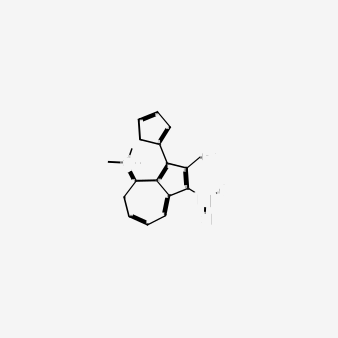 CC(C)C1=[C]([Hf]([Cl])[Cl])C2=CC=CC[C](=[Ge]([CH3])[CH3])C2=C1C1=CC=CC1